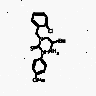 CCC(C)C(N)CN(Cc1ccccc1Cl)C(=S)Nc1ccc(OC)cc1